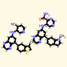 Cc1csc2ccc(-c3cc(Nc4cnccc4C#N)cc4nccnc34)cc12.Cn1ccc2ccc(-c3cc(Nc4cncnc4C(N)=O)cc4nccnc34)cc21